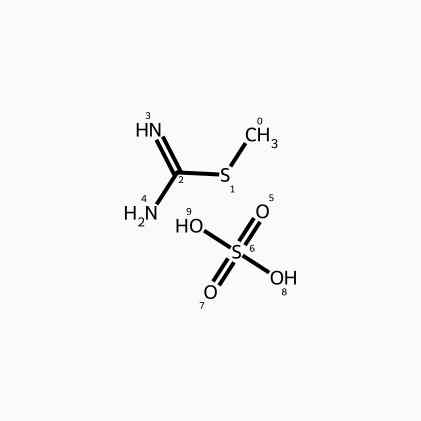 CSC(=N)N.O=S(=O)(O)O